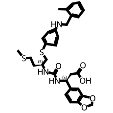 CSCC[C@@H](CSc1ccc(NCc2ccccc2C)cc1)NC(=O)N[C@@H](CC(=O)O)c1ccc2c(c1)OCO2